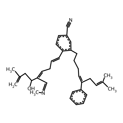 C=C(C)CC(O)C(/C=N\C)=C/C/C=C/c1ccc(C#N)cc1CCC/C=C(\CC=C(C)C)c1ccccc1